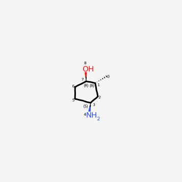 C[C@@H]1C[C@@H](N)CC[C@H]1O